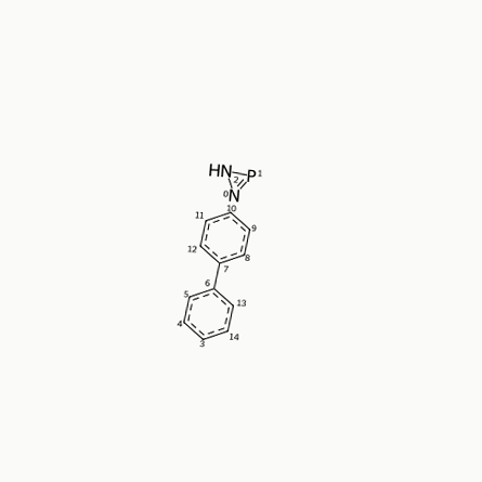 N1=PN1.c1ccc(-c2ccccc2)cc1